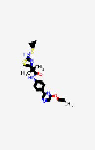 CCCOc1cncc(-c2ccc(NC(=O)C(C)(C)c3csc(NSC4CC4)n3)cc2)n1